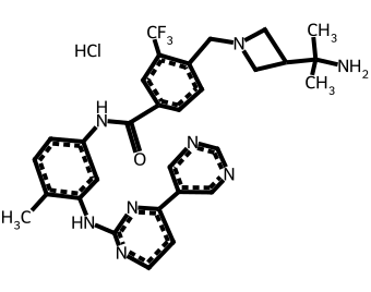 Cc1ccc(NC(=O)c2ccc(CN3CC(C(C)(C)N)C3)c(C(F)(F)F)c2)cc1Nc1nccc(-c2cncnc2)n1.Cl